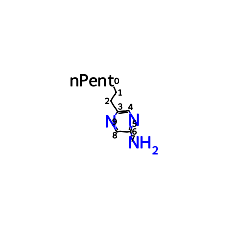 CCCCCCCc1cnc(N)cn1